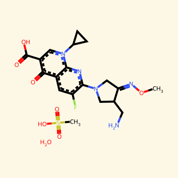 CO/N=C1/CN(c2nc3c(cc2F)c(=O)c(C(=O)O)cn3C2CC2)CC1CN.CS(=O)(=O)O.O